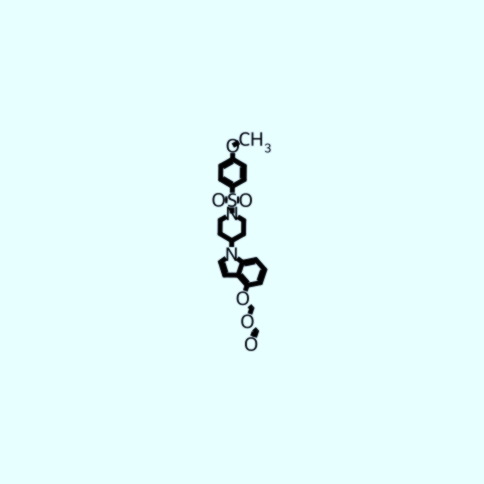 COc1ccc(S(=O)(=O)N2CCC(n3ccc4c(OCOC=O)cccc43)CC2)cc1